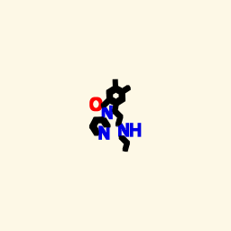 CCCNCCC1c2cc(C)c(C)cc2C(=O)N1c1cccnc1